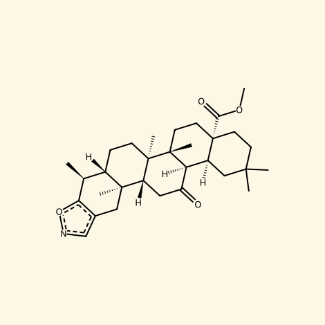 COC(=O)[C@]12CCC(C)(C)C[C@H]1[C@H]1C(=O)C[C@@H]3[C@@]4(C)Cc5cnoc5[C@@H](C)[C@@H]4CC[C@@]3(C)[C@]1(C)CC2